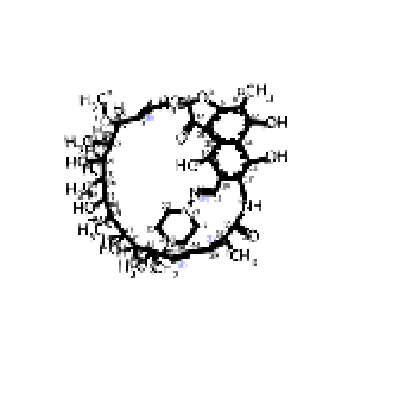 CO[C@H]1/C=C/O[C@@]2(C)Oc3c(C)c(O)c4c(O)c(c(/C=N/N5CCN(C)CC5)c(O)c4c3C2=O)NC(=O)/C(C)=C\C=C\C(C)(C)[C@H](C)[C@H](O)[C@@H](C)[C@@H](O)[C@@H](C)[C@H](O)[C@@H]1C